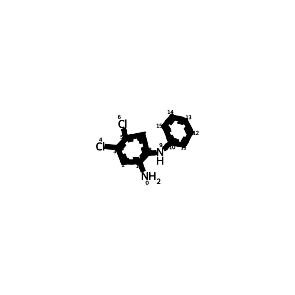 Nc1cc(Cl)c(Cl)cc1Nc1ccccc1